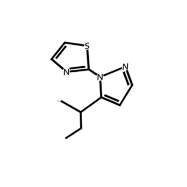 [CH2]C(CC)c1ccnn1-c1nccs1